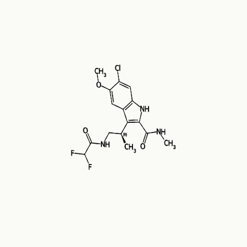 CNC(=O)c1[nH]c2cc(Cl)c(OC)cc2c1[C@@H](C)CNC(=O)C(F)F